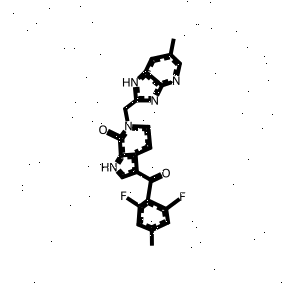 Cc1cc(F)c(C(=O)c2c[nH]c3c(=O)n(Cc4nc5ncc(C)cc5[nH]4)ccc23)c(F)c1